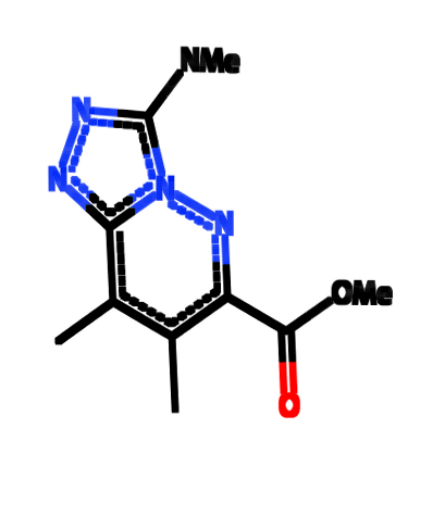 CNc1nnc2c(C)c(C)c(C(=O)OC)nn12